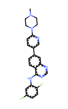 CN1CCN(c2ccc(-c3ccc4c(Nc5cc(F)ccc5F)ncnc4c3)cn2)CC1